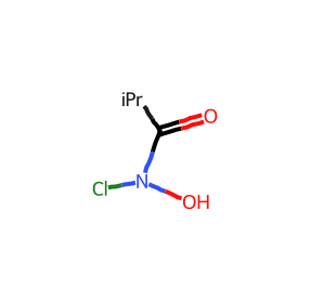 CC(C)C(=O)N(O)Cl